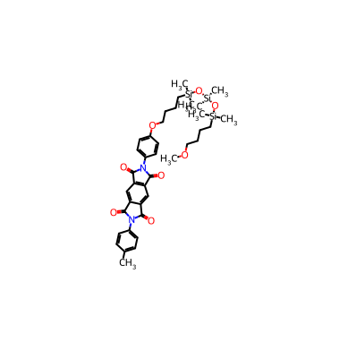 COCCCC[Si](C)(C)O[Si](C)(C)O[Si](C)(C)CCCCOc1ccc(-n2c(=O)c3cc4c(=O)n(-c5ccc(C)cc5)c(=O)c4cc3c2=O)cc1